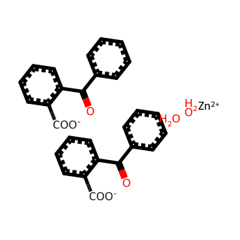 O.O.O=C([O-])c1ccccc1C(=O)c1ccccc1.O=C([O-])c1ccccc1C(=O)c1ccccc1.[Zn+2]